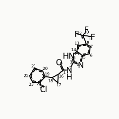 O=C(Nc1nc2ccc(C(F)(F)F)cc2[nH]1)C1CC1c1ccccc1Cl